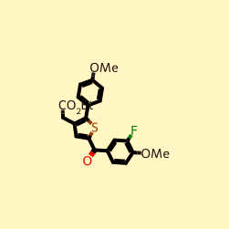 CCOC(=O)Cc1cc(C(=O)c2ccc(OC)c(F)c2)sc1-c1ccc(OC)cc1